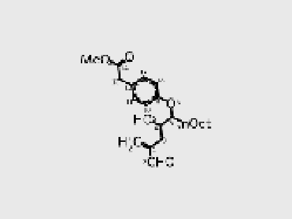 C=C(C=O)CC(O)C(CCCCCCCC)Oc1ccc(CC(=O)OC)cc1